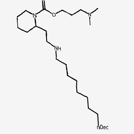 CCCCCCCCCCCCCCCCCCNCCC1CCCCN1C(=O)OCCCN(C)C